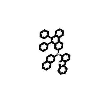 c1ccc(-c2c(-c3ccccc3)c3cc(N(c4ccc5ccccc5c4)c4cccc5c4sc4ccccc45)ccc3c3ccccc23)cc1